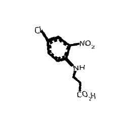 O=C(O)CCNc1ccc(Cl)cc1[N+](=O)[O-]